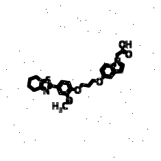 COc1cc(-c2nc3c(s2)CCCC3)ccc1OCCCOc1ccc2c(ccn2CC(=O)O)c1